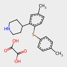 Cc1ccc(Sc2ccc(C)cc2C2CCNCC2)cc1.O=C(O)C(=O)O